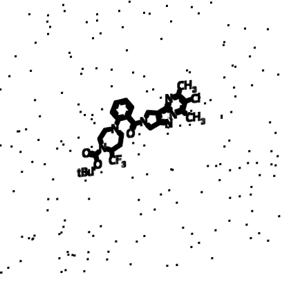 Cc1nc2c3c(nn2c(C)c1Cl)CN(C(=O)c1ccccc1N1CCC(C(F)(F)F)N(C(=O)OC(C)(C)C)CC1)C3